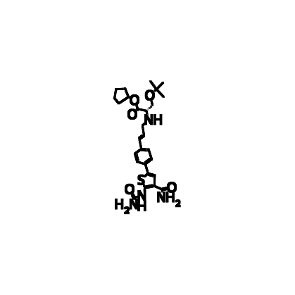 CC(C)(C)OC[C@H](NCC=Cc1ccc(-c2cc(C(N)=O)c(NC(N)=O)s2)cc1)C(=O)OC1CCCC1